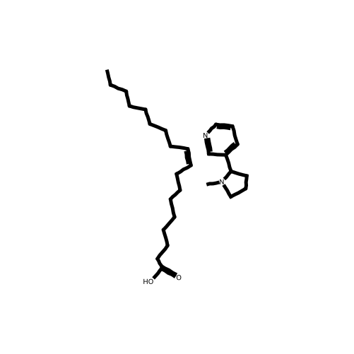 CCCCCCCC/C=C\CCCCCCCC(=O)O.CN1CCCC1c1cccnc1